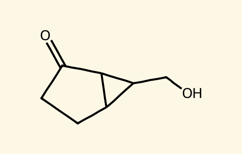 O=C1CCC2C(CO)C12